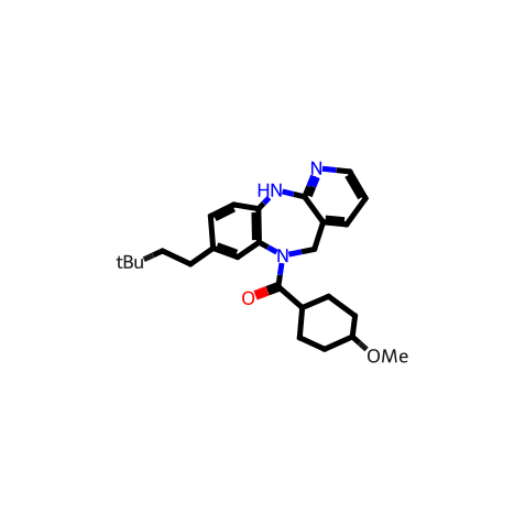 COC1CCC(C(=O)N2Cc3cccnc3Nc3ccc(CCC(C)(C)C)cc32)CC1